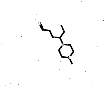 CCC(CCC=O)N1CCN(C)CC1